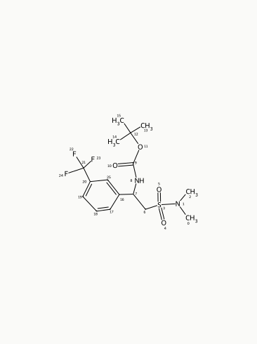 CN(C)S(=O)(=O)CC(NC(=O)OC(C)(C)C)c1cccc(C(F)(F)F)c1